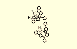 CC1(C)c2ccccc2-c2ccc(N(c3ccccc3)c3cccc(-c4ccc(-c5ccc(-c6cccc(N(c7ccc8c(c7)C(C)(C)c7ccccc7-8)c7ccc8c(c7)C(C)(C)c7ccccc7-8)c6)cc5)cc4)c3)cc21